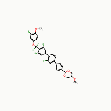 CCCCOC1COC(c2ccc(-c3ccc(-c4cc(F)c(C(F)(F)Oc5ccc(OC(F)(F)F)c(F)c5)c(F)c4)c(F)c3)cc2)OC1